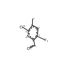 Cc1cc(F)c(C=O)nc1Cl